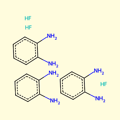 F.F.F.Nc1ccccc1N.Nc1ccccc1N.Nc1ccccc1N